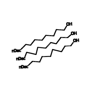 CCCCCCCCCCCCCCCCCCO.CCCCCCCCCCCCCCCCCCO.CCCCCCCCCCCCCCCCCCO